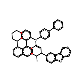 CC1C=CC(N(c2ccc(-c3ccccc3)cc2)c2ccccc2-c2cccc3cccc(C4CCCCC4)c23)=CC1c1ccc2oc3ccccc3c2c1